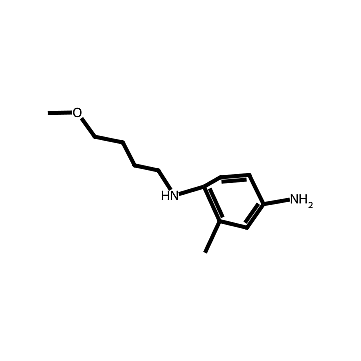 COCCCCNc1ccc(N)cc1C